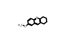 COc1ccc2nc3c(cc2c1)CCCC3